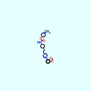 CN1CCC(OC(=O)N[C@H]2CC[C@H](CCN3CCN(c4cccc5c4OCO5)CC3)CC2)CC1